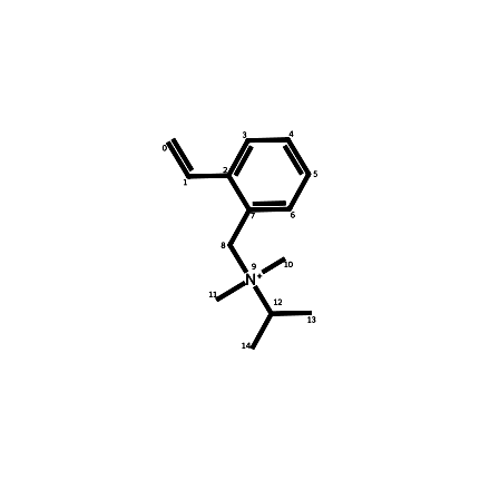 C=Cc1ccccc1C[N+](C)(C)C(C)C